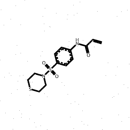 C=CC(=O)Nc1ccc(S(=O)(=O)N2CCSCC2)cc1